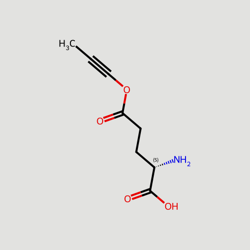 CC#COC(=O)CC[C@H](N)C(=O)O